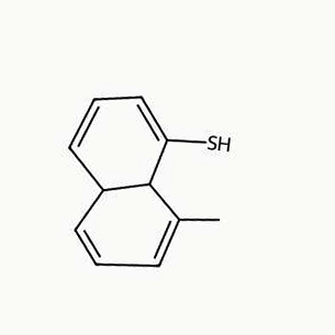 CC1=CC=CC2C=CC=C(S)C12